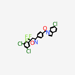 O=C(c1ccc(C2=NOC(c3cc(Cl)cc(Cl)c3)(C(F)(F)F)C2)cc1)n1ccc2ccc(Cl)cc21